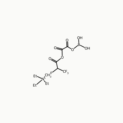 CC[N+](C)(CC)CC.O=C(OB(O)O)C(=O)OC(=O)C(F)C(F)(F)F